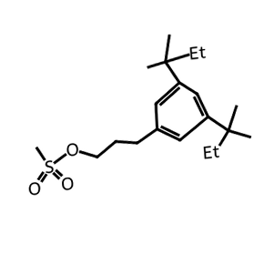 CCC(C)(C)c1cc(CCCOS(C)(=O)=O)cc(C(C)(C)CC)c1